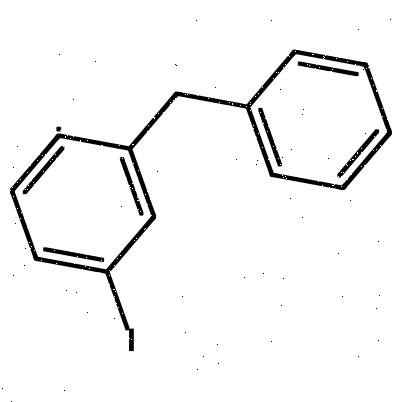 Ic1cc[c]c(Cc2ccccc2)c1